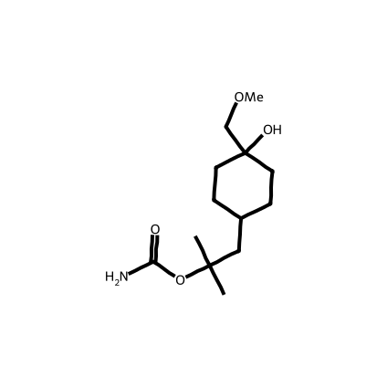 COCC1(O)CCC(CC(C)(C)OC(N)=O)CC1